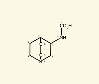 O=C(O)NC1CN2CCC1CC2